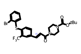 CC(C)(C)OC(=O)N1CCN(C(=O)/C=C/c2ccc(Sc3ccccc3Br)c(C(F)(F)F)c2)CC1